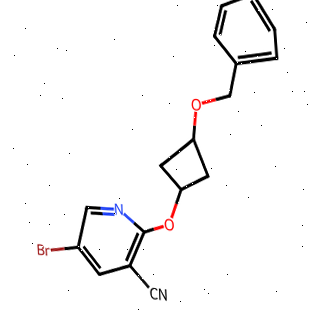 N#Cc1cc(Br)cnc1OC1CC(OCc2ccccc2)C1